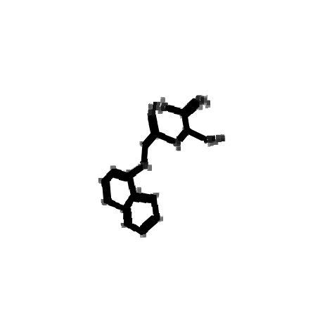 C=C(C)C(OC(=O)COc1cccc2ccccc12)C(=O)OCC